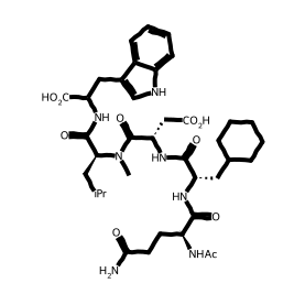 CC(=O)N[C@@H](CCC(N)=O)C(=O)N[C@@H](CC1CCCCC1)C(=O)N[C@@H](CC(=O)O)C(=O)N(C)[C@@H](CC(C)C)C(=O)NC(Cc1c[nH]c2ccccc12)C(=O)O